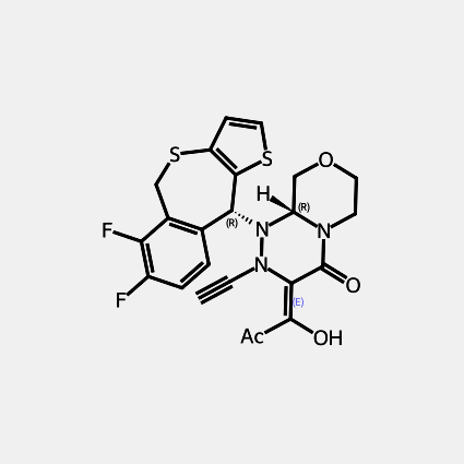 C#CN1/C(=C(/O)C(C)=O)C(=O)N2CCOC[C@H]2N1[C@@H]1c2ccc(F)c(F)c2CSc2ccsc21